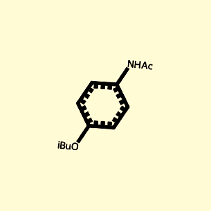 CC(=O)Nc1ccc(OCC(C)C)cc1